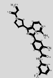 C=CC(=O)N1CCC(c2nc(-c3ccc(C(=O)Nc4cc(C(F)(F)F)ccn4)c(C#N)c3)n3c(N)nccc23)C1